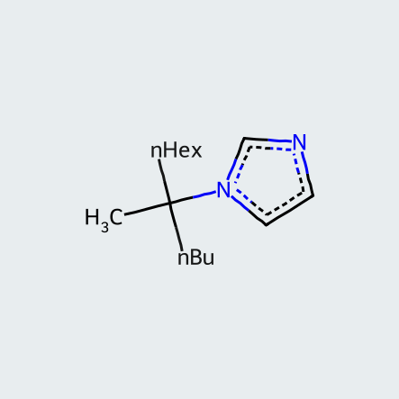 CCCCCCC(C)(CCCC)n1ccnc1